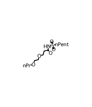 CCCCCS(=O)(=O)NC(=O)CCOCCOCCC